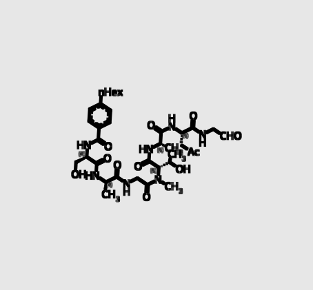 CCCCCCc1ccc(C(=O)N[C@H](CO)C(=O)N[C@H](C)C(=O)NCC(=O)N(C)[C@H](C(=O)N[C@@H](C)C(=O)N[C@@H](CC(C)=O)C(=O)NCC=O)C(C)O)cc1